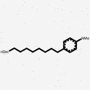 CCCCCCCCCCCCCCCCCCc1ccc(NC)cc1